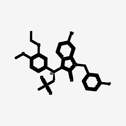 CCOc1cc([C@@H](CS(C)(=O)=O)n2c(=O)n(Cc3cccc(F)c3)c3cc(Br)ccc32)ccc1OC